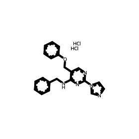 Cl.Cl.c1ccc(CNc2nc(-n3ccnc3)ncc2COc2ccccc2)cc1